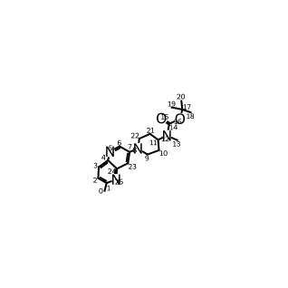 Cc1ccc2ncc(N3CCC(N(C)C(=O)OC(C)(C)C)CC3)cc2n1